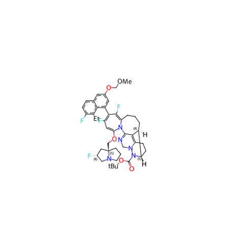 CCc1c(F)ccc2cc(OCOC)cc(C3=C(F)C=C(OC[C@@]45CCCN4C[C@H](F)C5)N4C5=NCN6C7=C5[C@@H](CCCC4=C3F)[C@H](CC7)N6C(=O)OC(C)(C)C)c12